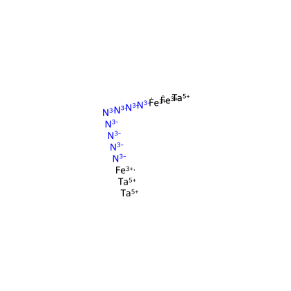 [Fe+3].[Fe+3].[Fe+3].[N-3].[N-3].[N-3].[N-3].[N-3].[N-3].[N-3].[N-3].[Ta+5].[Ta+5].[Ta+5]